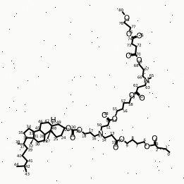 CCCC(=O)OCCCCOC(=O)CCN(CCCOC(=O)OC1CC[C@]2(C)C3CC[C@@]4(C)C(CC[C@@H]4[C@H](C)CCCC(C)C)C3CC[C@H]2C1)CCC(=O)OCCCCOC(=O)CCN(C)CCCOC(=O)CCC(=O)OCCOC